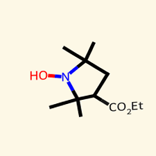 CCOC(=O)C1CC(C)(C)N(O)C1(C)C